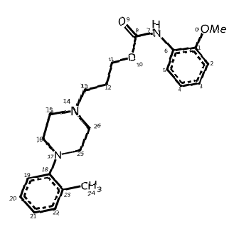 COc1ccccc1NC(=O)OCCCN1CCN(c2ccccc2C)CC1